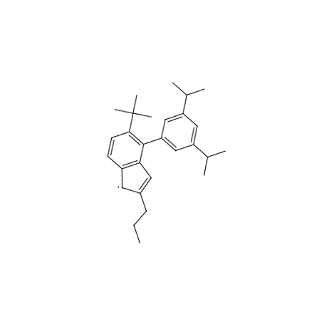 CCCC1=Cc2c(ccc(C(C)(C)C)c2-c2cc(C(C)C)cc(C(C)C)c2)[CH]1